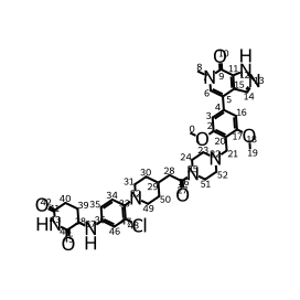 COc1cc(-c2cn(C)c(=O)c3[nH]ncc23)cc(OC)c1CN1CCN(C(=O)CC2CCN(c3ccc(NC4CCC(=O)NC4=O)cc3Cl)CC2)CC1